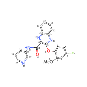 COc1cc(F)ccc1Oc1nc2ccccc2nc1C(=O)Nc1cccnc1